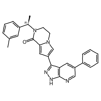 Cc1cccc([C@@H](C)N2CCn3cc(-c4n[nH]c5ncc(-c6ccccc6)cc45)cc3C2=O)c1